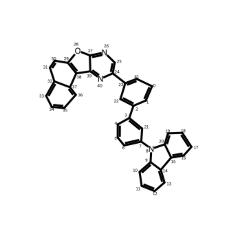 c1cc(-c2cccc(-n3c4ccccc4c4ccccc43)c2)cc(-c2cnc3oc4ccc5ccccc5c4c3n2)c1